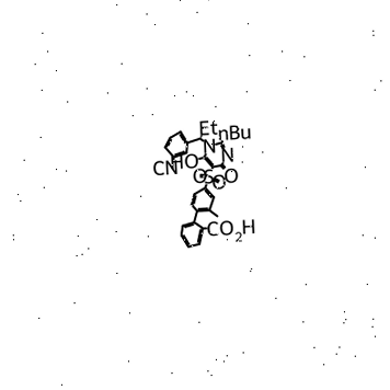 CCCCc1nc(=O)c(S(=O)(=O)c2ccc(-c3ccccc3C(=O)O)c(C)c2)c(O)n1[C@@H](CC)c1cccc(C#N)c1